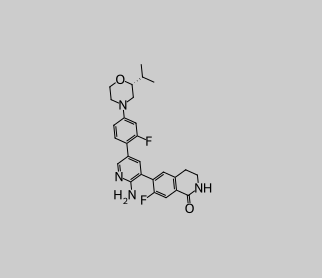 CC(C)[C@@H]1CN(c2ccc(-c3cnc(N)c(-c4cc5c(cc4F)C(=O)NCC5)c3)c(F)c2)CCO1